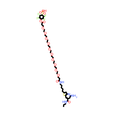 CCCNC(=O)C1=Cc2sc(CCCCCNC(=O)CCOCCOCCOCCOCCOCCOCCOCCOCCOCCOCCC(=O)Oc3c(F)c(F)c(S(=O)(=O)O)c(F)c3F)cc2N=C(N)C1